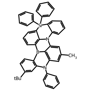 Cc1cc2c3c(c1)N1c4ccccc4[Si](c4ccccc4)(c4ccccc4)c4cccc(c41)B3c1ccc(C(C)(C)C)cc1N2c1ccccc1